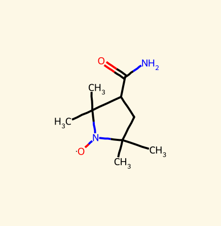 CC1(C)CC(C(N)=O)C(C)(C)N1[O]